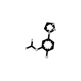 FC(F)Oc1cc(-n2c[c]nn2)ccc1Cl